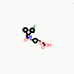 O=C(O)COC[C@H]1CC[C@@H](Cn2nc(-c3ccc(F)cc3)c(-c3ccccc3)cc2=O)CC1